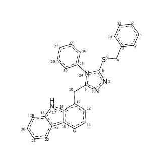 c1ccc(CSc2nnc(Cc3cccc4c3[nH]c3ccccc34)n2-c2ccccc2)cc1